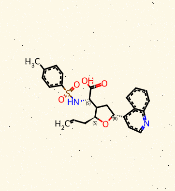 C=CC[C@@H]1O[C@@H](c2ccnc3ccccc23)CC1[C@H](NS(=O)(=O)c1ccc(C)cc1)C(=O)O